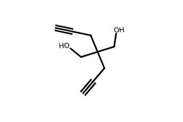 C#CCC(CO)(CO)CC#C